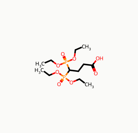 CCOP(=O)(OCC)C(CCC(=O)O)P(=O)(OCC)OCC